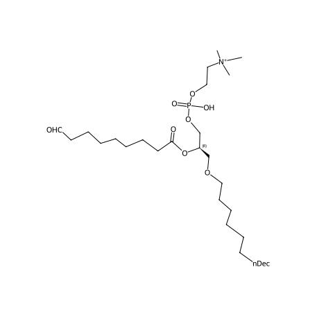 CCCCCCCCCCCCCCCCOC[C@H](COP(=O)(O)OCC[N+](C)(C)C)OC(=O)CCCCCCCC=O